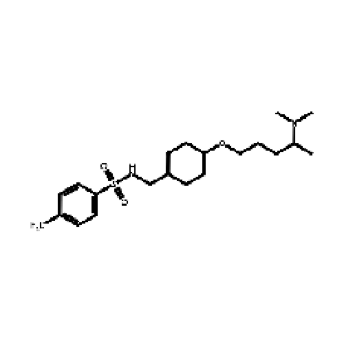 CC(CCCOC1CCC(CNS(=O)(=O)c2ccc(C(F)(F)F)cc2)CC1)N(C)C